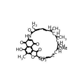 CC(=O)O[C@@H]1CC/C=C/O[C@@]2(C)Oc3c(C)c(O)c4c(c3C2=O)C(=O)C=C(NC(=O)/C(C)=C\C=C\[C@H](C)C[C@@H](C)C[C@H]1C)C4=O